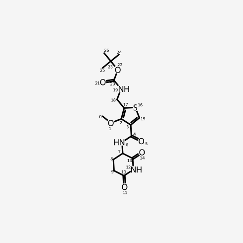 COc1c(C(=O)NC2CCC(=O)NC2=O)csc1CNC(=O)OC(C)(C)C